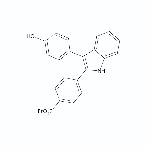 CCOC(=O)c1ccc(-c2[nH]c3ccccc3c2-c2ccc(O)cc2)cc1